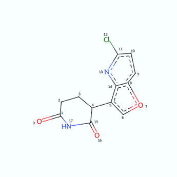 O=C1CCC(c2coc3ccc(Cl)nc23)C(=O)N1